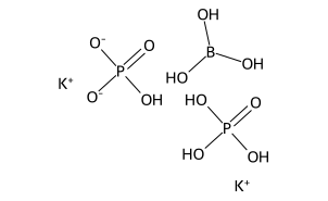 O=P(O)(O)O.O=P([O-])([O-])O.OB(O)O.[K+].[K+]